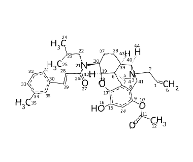 C=CCN1CC[C@]23c4c5c(OC(C)=O)cc(O)c4O[C@H]2[C@@H](N(CC(C)C)C(=O)C=Cc2cccc(C)c2)CC[C@H]3[C@H]1C5